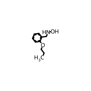 CCCOc1ccccc1CNO